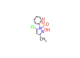 CC1=N[N+](c2ccccc2)(P(=O)(O)O)C(Cl)=C1